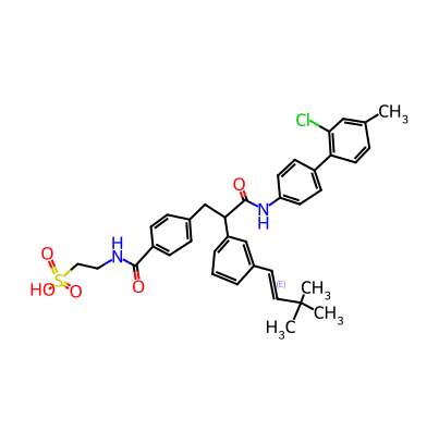 Cc1ccc(-c2ccc(NC(=O)C(Cc3ccc(C(=O)NCCS(=O)(=O)O)cc3)c3cccc(/C=C/C(C)(C)C)c3)cc2)c(Cl)c1